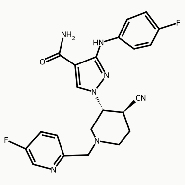 N#C[C@H]1CCN(Cc2ccc(F)cn2)C[C@@H]1n1cc(C(N)=O)c(Nc2ccc(F)cc2)n1